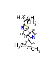 Cc1cc(C)cc(-c2nccc3c2ccc2nc(CC(C)(C)C)sc23)c1